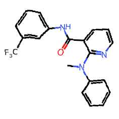 CN(c1ccccc1)c1ncccc1C(=O)Nc1cccc(C(F)(F)F)c1